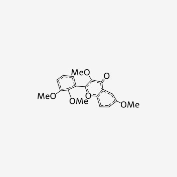 COc1ccc2oc(-c3cccc(OC)c3OC)c(OC)c(=O)c2c1